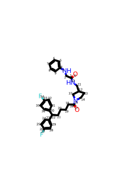 O=C(CNc1ccccc1)NCC1CCN(C(=O)CCCCC(c2ccc(F)cc2)c2ccc(F)cc2)C1